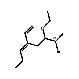 C=C/C(=C/CC)CC(OCC)[C@@H](C)Br